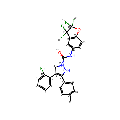 Cc1ccc(C2=C(c3ccccc3F)CN(C(=O)Nc3ccc4c(c3)C(F)(F)C(F)(F)O4)N2)cc1